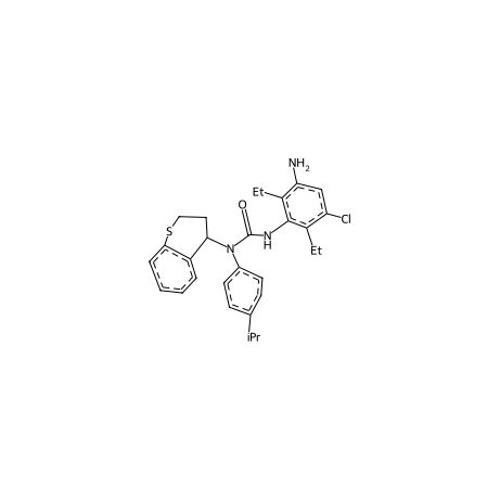 CCc1c(N)cc(Cl)c(CC)c1NC(=O)N(c1ccc(C(C)C)cc1)C1CCSc2ccccc21